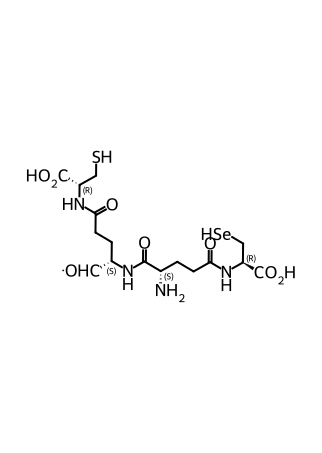 N[C@@H](CCC(=O)N[C@@H](C[SeH])C(=O)O)C(=O)N[C@H]([C]=O)CCC(=O)N[C@@H](CS)C(=O)O